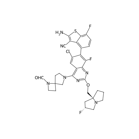 N#Cc1c(N)sc2c(F)ccc(-c3c(Cl)cc4c(N5CCC6(CCN6C=O)C5)nc(OC[C@@]56CCCN5C[C@H](F)C6)nc4c3F)c12